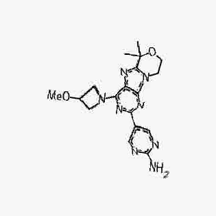 COC1CN(c2nc(-c3cnc(N)nc3)nc3c2nc2n3CCOC2(C)C)C1